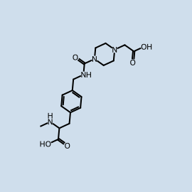 CNC(Cc1ccc(CNC(=O)N2CCN(CC(=O)O)CC2)cc1)C(=O)O